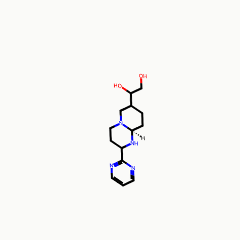 OCC(O)C1CC[C@H]2NC(c3ncccn3)CCN2C1